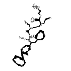 CC(=O)NCCOC(=O)[C@@H](CCC(C)C)CN(CC(C)C)C(=O)N[C@H](C(=O)O)C(Cc1ccccc1)c1ccc(-c2ccccc2)cc1